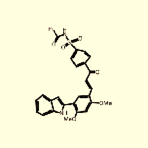 COc1cc(OC)c(-c2cc3ccccc3[nH]2)cc1C=CC(=O)c1ccc(S(=O)(=O)NC(=O)C(C)C)cc1